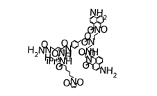 CC(C)[C@H](NC(=O)CCCCCN1C(=O)C=CC1=O)C(=O)N[C@@H](CCCNC(N)=O)C(=O)Nc1ccc(COC(=O)N(CCCN2C(=O)c3cccc4c(N)ccc(c34)C2=O)CCNC(=O)CN2C(=O)c3cccc4c(N)ccc(c34)C2=O)cc1